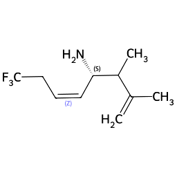 C=C(C)C(C)[C@@H](N)/C=C\CC(F)(F)F